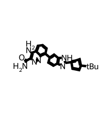 CC(C)(C)c1ccc(-c2nc3ccc(-c4cccc5c(N)c(C(N)=O)nnc45)cc3[nH]2)cc1